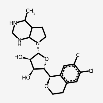 CC1NCNC2C1CCN2[C@@H]1O[C@H]([C@@H]2OCCc3cc(Cl)c(Cl)cc32)[C@@H](O)[C@H]1O